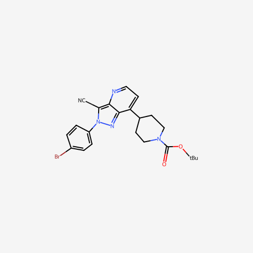 CC(C)(C)OC(=O)N1CCC(c2ccnc3c(C#N)n(-c4ccc(Br)cc4)nc23)CC1